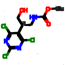 CC(C)(C)OC(=O)NC[C@@H](CO)c1c(Cl)nc(Cl)nc1Cl